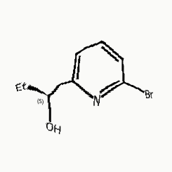 CC[C@H](O)c1cccc(Br)n1